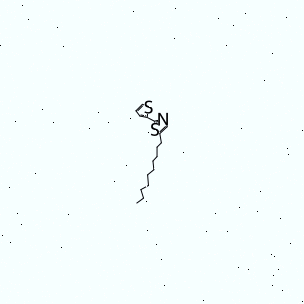 CCCCCCCCCCc1cnc(-c2cccs2)s1